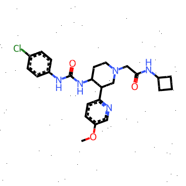 COc1ccc(C2CN(CC(=O)NC3CCC3)CCC2NC(=O)Nc2ccc(Cl)cc2)nc1